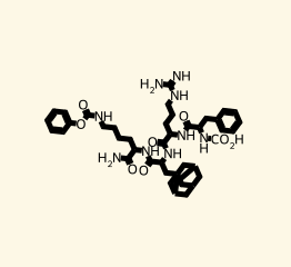 N=C(N)NCCCC(NC(=O)C(Cc1ccccc1)NC(=O)O)C(=O)NC(CC12CC3CC(CC(C3)C1)C2)C(=O)NC(CCCCNC(=O)Oc1ccccc1)C(N)=O